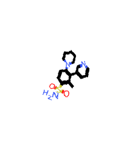 Cc1c(S(N)(=O)=O)ccc(N2CCCCC2)c1-c1cccnc1